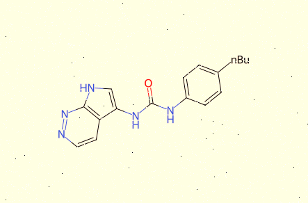 CCCCc1ccc(NC(=O)Nc2c[nH]c3nnccc23)cc1